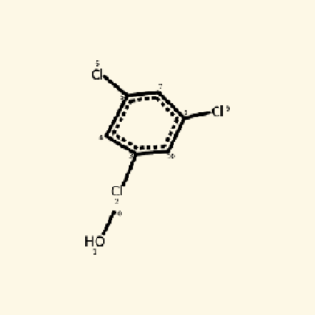 CO.Clc1cc(Cl)cc(Cl)c1